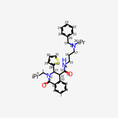 CC(C)CN1C(=O)c2ccccc2C(C(=O)NCCCN(Cc2ccccc2)C(C)C)C1c1cccs1